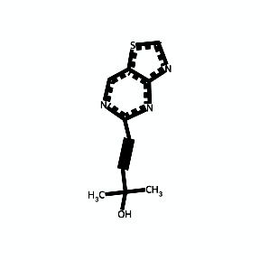 CC(C)(O)C#Cc1ncc2s[c]nc2n1